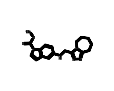 CC(C)(C)OC(=O)n1ccc2cc(NCc3nnc4n3CCCCC4)ccc21